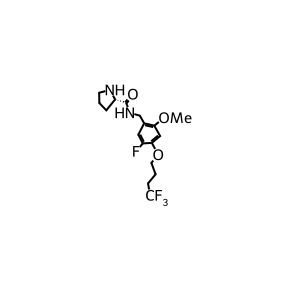 COc1cc(OCCCC(F)(F)F)c(F)cc1CNC(=O)[C@@H]1CCCN1